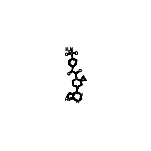 NS(=O)(=O)c1ccc(C(=O)C(=O)N2CCN(c3ncnc4[nH]ccc34)CC23CC3)cc1